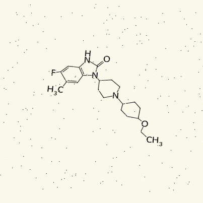 CCOC1CCC(N2CCC(n3c(=O)[nH]c4cc(F)c(C)cc43)CC2)CC1